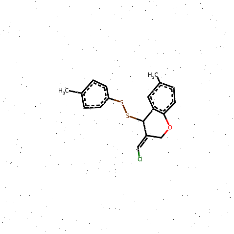 Cc1ccc(SSC2/C(=C/Cl)COc3ccc(C)cc32)cc1